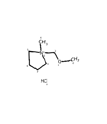 COC[N+]1(C)CCCC1.Cl